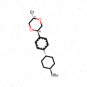 CCCC[C@H]1CC[C@H](c2ccc([C@@H]3CO[C@@H](CC)CO3)cc2)CC1